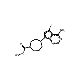 Bc1cc(C2CCCN(C(=O)OC(C)(C)C)CC2)n2ncnc(N)c12